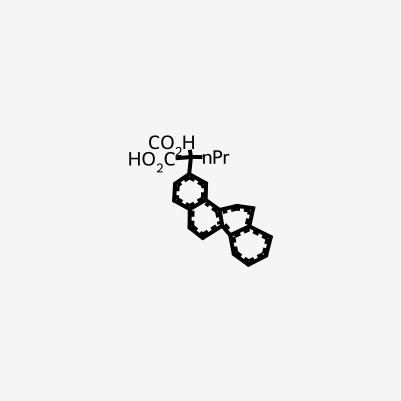 CCCC(C(=O)O)(C(=O)O)c1ccc2ccc3c4ccccc4ccc3c2c1